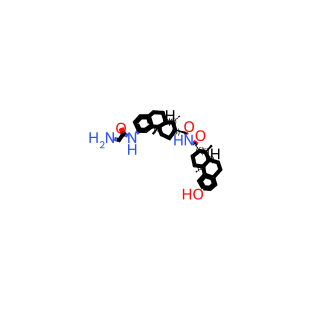 C[C@@H]1[C@@H](C(=O)NC(=O)[C@H]2CC[C@]3(C)c4cc(NC(=O)CN)ccc4CC[C@H]3[C@@H]2C)CC[C@]2(C)c3cc(O)ccc3CC[C@@H]12